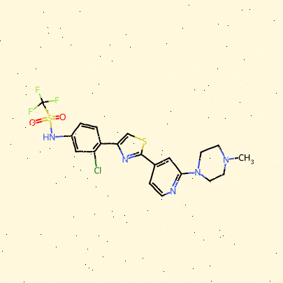 CN1CCN(c2cc(-c3nc(-c4ccc(NS(=O)(=O)C(F)(F)F)cc4Cl)cs3)ccn2)CC1